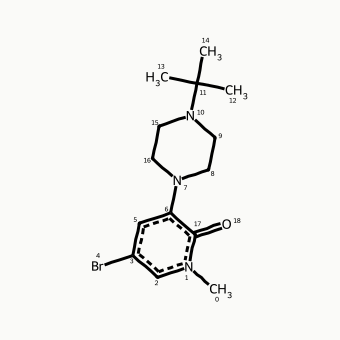 Cn1cc(Br)cc(N2CCN(C(C)(C)C)CC2)c1=O